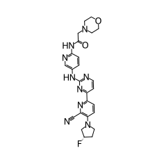 N#Cc1nc(-c2ccnc(Nc3ccc(NC(=O)CN4CCOCC4)nc3)n2)ccc1N1CC[C@H](F)C1